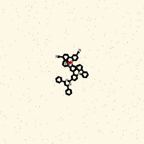 N#Cc1ccc(-n2c3ccccc3c3cc(-c4cc(-c5nc(-c6ccccc6)cc(-c6ccccc6)n5)ccc4-n4c5ccccc5c5ccccc54)ccc32)c(-c2ccc(C#N)cc2C(F)(F)F)c1